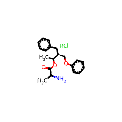 CC(N)C(=O)OC(C)[C@H](COc1ccccc1)Cc1ccccc1.Cl